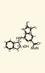 CNC(=O)c1cc(N[C@@H]2c3ccccc3C[C@H]2O)c2nc(C)c(C)n2c1